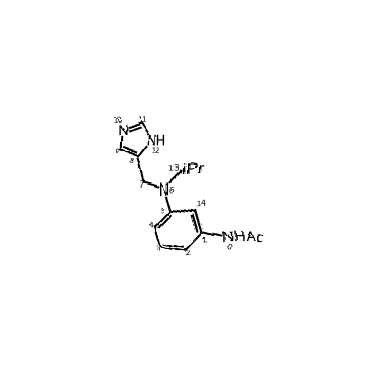 CC(=O)Nc1cccc(N(Cc2cnc[nH]2)C(C)C)c1